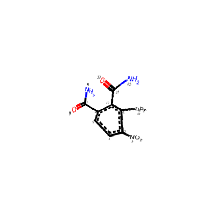 CCCc1c([N+](=O)[O-])ccc(C(N)=O)c1C(N)=O